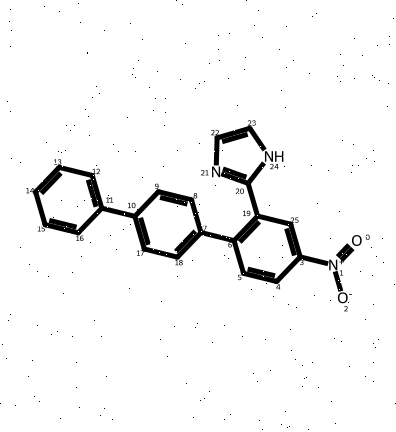 O=[N+]([O-])c1ccc(-c2ccc(-c3ccccc3)cc2)c(-c2ncc[nH]2)c1